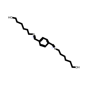 OCCCCCC/N=C/c1ccc(/C=N/CCCCCCO)cc1